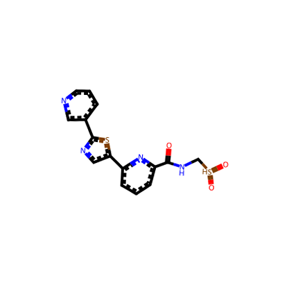 O=C(NC[SH](=O)=O)c1cccc(-c2cnc(-c3cccnc3)s2)n1